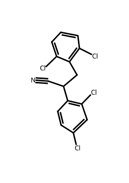 N#CC(Cc1c(Cl)cccc1Cl)c1ccc(Cl)cc1Cl